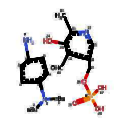 CCCCN(CCCC)c1ccc(N)cc1.Cc1ncc(COP(=O)(O)O)c(C=O)c1O